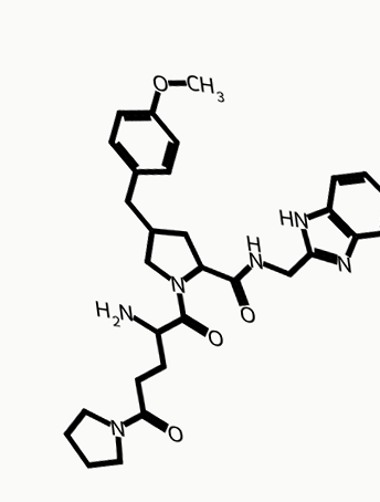 COc1ccc(CC2CC(C(=O)NCc3nc4cnccc4[nH]3)N(C(=O)C(N)CCC(=O)N3CCCC3)C2)cc1